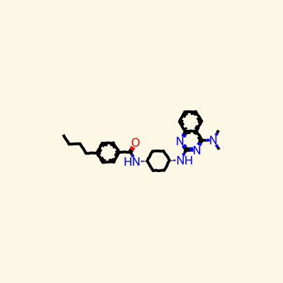 CCCCc1ccc(C(=O)N[C@H]2CC[C@@H](Nc3nc(N(C)C)c4ccccc4n3)CC2)cc1